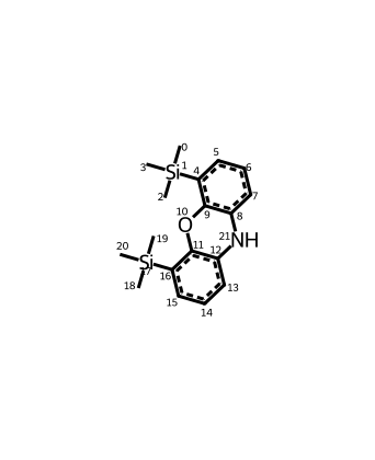 C[Si](C)(C)c1cccc2c1Oc1c(cccc1[Si](C)(C)C)N2